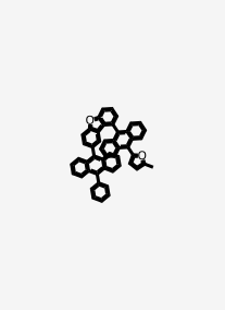 Cc1ccc(-c2c3ccccc3c(-c3cccc4oc5ccc(-c6c7ccccc7c(-c7ccccc7)c7ccccc67)cc5c34)c3ccccc23)o1